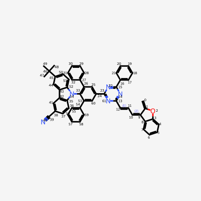 C=c1oc2ccccc2/c1=C/C=C/c1nc(-c2ccccc2)nc(-c2cc(-c3ccccc3)c(-n3c4ccc(C#N)cc4c4cc(C(C)(C)C)ccc43)c(-c3ccccc3)c2)n1